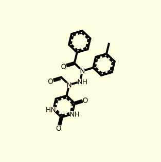 Cc1cccc(N(NN(C=O)c2c[nH]c(=O)[nH]c2=O)C(=O)c2ccccc2)c1